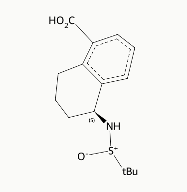 CC(C)(C)[S+]([O-])N[C@H]1CCCc2c(C(=O)O)cccc21